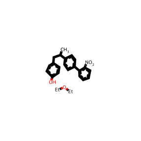 CC(Cc1ccc(O)cc1)c1ccc(-c2ccccc2[N+](=O)[O-])cc1.CCOCC